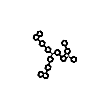 c1ccc(-c2ccc3c(c2)c2c(-c4cccc(N(c5ccc(-c6ccc(-c7cccc8ccccc78)cc6)cc5)c5ccc(-c6ccc(-c7cccc8ccccc78)cc6)cc5)c4)cccc2n3-c2ccccc2)cc1